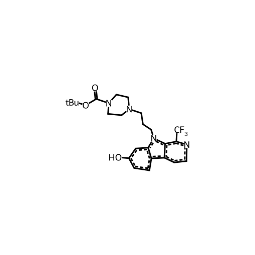 CC(C)(C)OC(=O)N1CCN(CCCn2c3cc(O)ccc3c3ccnc(C(F)(F)F)c32)CC1